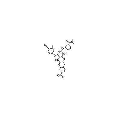 Cc1cc(OC2=C3NC(=O)C(CC4=CCC(=S(=O)=O)C=C4)N=C3NC(Oc3cccc(C(=O)N(C)C)c3)=N2)ccc1C#N